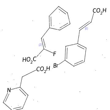 O=C(O)/C(F)=C/c1ccccc1.O=C(O)/C=C/c1cccc(Br)c1.O=C(O)Cc1ccccn1